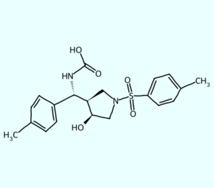 Cc1ccc([C@H](NC(=O)O)[C@H]2CN(S(=O)(=O)c3ccc(C)cc3)C[C@H]2O)cc1